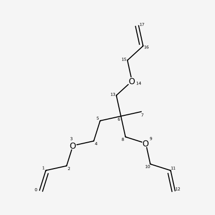 C=CCOCCC(C)(COCC=C)COCC=C